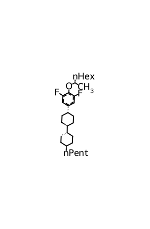 CCCCCC[C@@H](C)Oc1c(F)cc([C@H]2CC[C@H]([C@H]3CC[C@H](CCCCC)CC3)CC2)cc1F